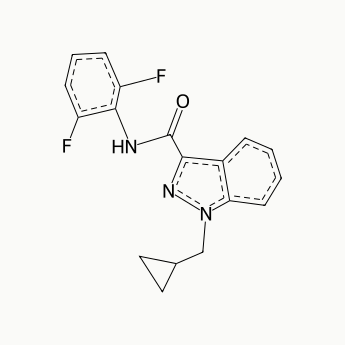 O=C(Nc1c(F)cccc1F)c1nn(CC2CC2)c2ccccc12